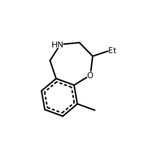 CCC1CNCc2cccc(C)c2O1